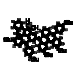 CC(C)(C)c1ccc(N(c2ccc(C(C)(C)C)cc2)c2cc(N3c4ccc(C(C)(C)C)cc4B4c5cc(C(C)(C)C)ccc5N(c5ccc(C(C)(C)C)cc5)c5cccc3c54)cc3c2-c2ccc4ccccc4c2C3(C)C)cc1